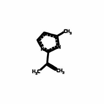 C=C(C)c1nccc(C)n1